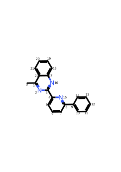 Cc1nc(-c2cccc(-c3ccccc3)n2)nc2ccccc12